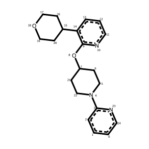 c1ccc(N2CCC(Oc3ncccc3C3CCOCC3)CC2)nc1